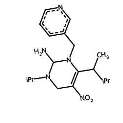 CC(C)C(C)C1=C([N+](=O)[O-])CN(C(C)C)C(N)N1Cc1cccnc1